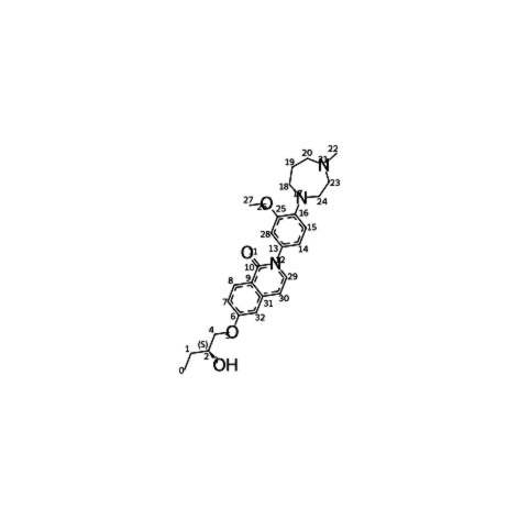 CC[C@H](O)COc1ccc2c(=O)n(-c3ccc(N4CCCN(C)CC4)c(OC)c3)ccc2c1